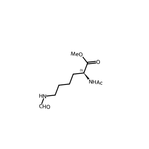 COC(=O)[C@H](CCCCNC=O)NC(C)=O